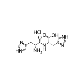 Cl.N[C@@H](Cc1c[nH]cn1)C(=O)N[C@@H](Cc1c[nH]cn1)C(=O)O